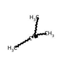 CCCCCCCCCCCCCCCCn1cc[n+](CCCCCCC)c1CCCCCCCCCCCCC